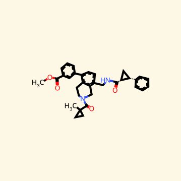 COC(=O)c1cccc(-c2ccc(CNC(=O)[C@@H]3C[C@@H]3c3ccccc3)c3c2CCN(C(=O)C2(C)CC2)C3)c1